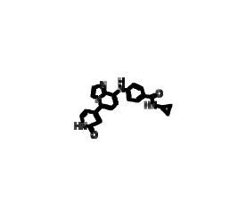 O=C(NC1CC1)c1ccc(Nc2ccc(-c3cc[nH]c(=O)c3)n3ccnc23)cc1